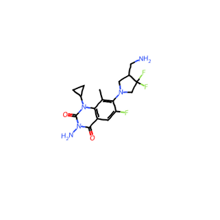 Cc1c(N2CC(CN)C(F)(F)C2)c(F)cc2c(=O)n(N)c(=O)n(C3CC3)c12